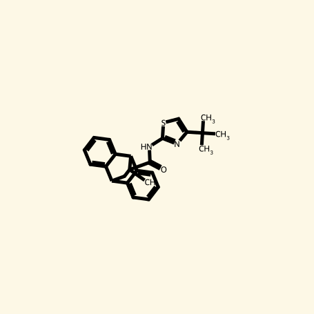 CC(C)(C)c1csc(NC(=O)C2(C)CC3c4ccccc4C2c2ccccc23)n1